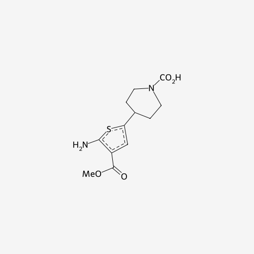 COC(=O)c1cc(C2CCN(C(=O)O)CC2)sc1N